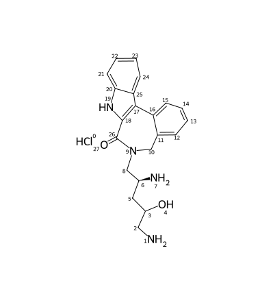 Cl.NCC(O)C[C@H](N)CN1Cc2ccccc2-c2c([nH]c3ccccc23)C1=O